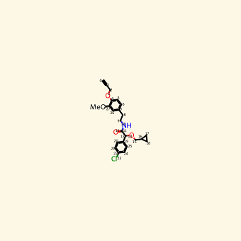 C#CCOc1ccc(CCNC(=O)C(OCC2CC2)c2ccc(Cl)cc2)cc1OC